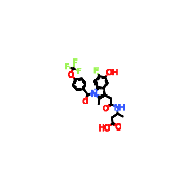 Cc1c(CC(=O)NC(C)CC(=O)O)c2cc(O)c(F)cc2n1C(=O)c1ccc(OC(F)(F)F)cc1